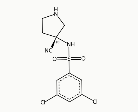 N#C[C@@]1(NS(=O)(=O)c2cc(Cl)cc(Cl)c2)CCNC1